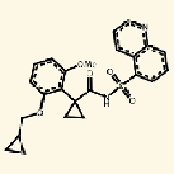 COc1cccc(OCC2CC2)c1C1(C(=O)NS(=O)(=O)c2cccc3ncccc23)CC1